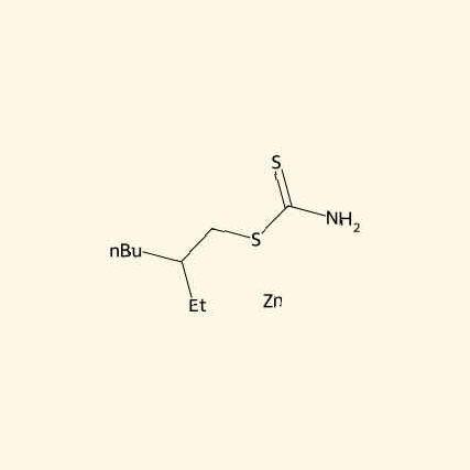 CCCCC(CC)CSC(N)=S.[Zn]